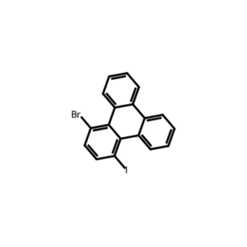 Brc1ccc(I)c2c3ccccc3c3ccccc3c12